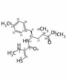 CN/C(=C\S)C(=O)N[C@@H](Cc1ccc(C)cc1)C[C@H](C)C(=O)OC